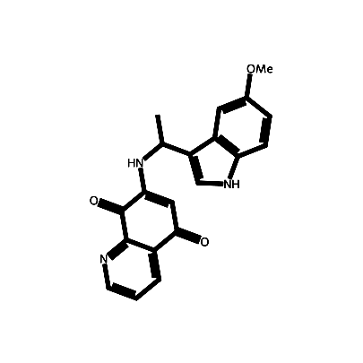 COc1ccc2[nH]cc(C(C)NC3=CC(=O)c4cccnc4C3=O)c2c1